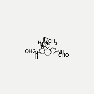 CC(C)c1nnc(C2(C[C@@H](C)N)c3ccc(NC=O)cc3CCc3cc(NC=O)ccc32)o1